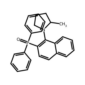 CC1CCCN1c1c(P(=O)(c2ccccc2)c2ccccc2)ccc2ccccc12